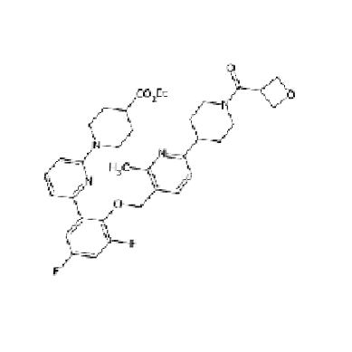 CCOC(=O)C1CCN(c2cccc(-c3cc(F)cc(F)c3OCc3ccc(C4CCN(C(=O)C5COC5)CC4)nc3C)n2)CC1